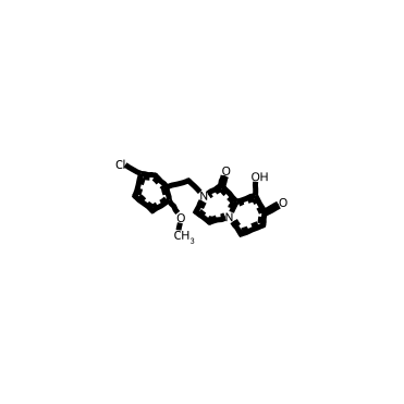 COc1ccc(Cl)cc1Cn1ccn2ccc(=O)c(O)c2c1=O